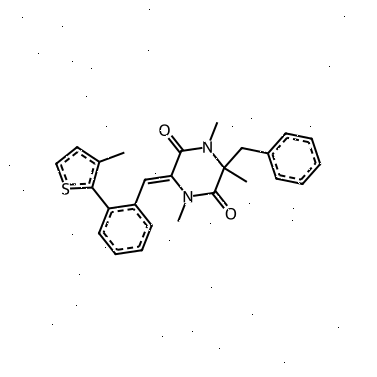 Cc1ccsc1-c1ccccc1/C=C1/C(=O)N(C)C(C)(Cc2ccccc2)C(=O)N1C